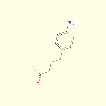 Nc1ccc(CCC[SH](=O)=O)cc1